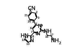 N#Cc1ccc(-c2cc(-c3ncc[nH]3)nc(NCCN)n2)cc1